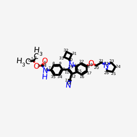 CC(C)OC(=O)Nc1ccc(-c2c(C#N)c3ccc(OCCN4CCCC4)cc3n2C2CCC2)cc1